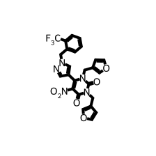 O=c1c([N+](=O)[O-])c(-c2cnn(Cc3ccccc3C(F)(F)F)c2)n(Cc2ccoc2)c(=O)n1Cc1ccoc1